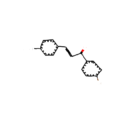 CCCCCCCCc1ccc(/C=C/C(=O)c2ccc(Br)cc2)cc1